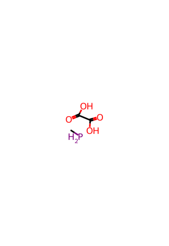 CP.O=C(O)C(=O)O